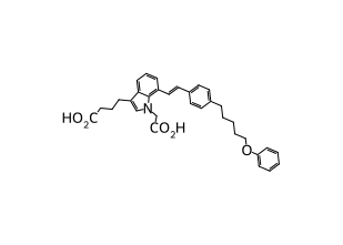 O=C(O)CCCc1cn(CC(=O)O)c2c(C=Cc3ccc(CCCCCOc4ccccc4)cc3)cccc12